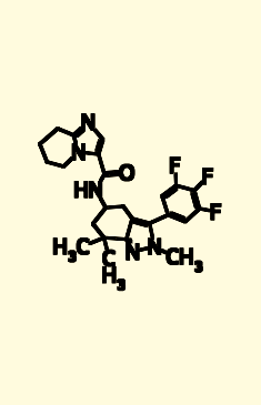 Cn1nc2c(c1-c1cc(F)c(F)c(F)c1)CC(NC(=O)c1cnc3n1CCCC3)CC2(C)C